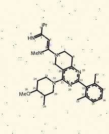 CN/C(=C\C(=N)C(C)C)N1CCc2nc(-c3c(C)cccc3C)nc(N3CCC(OC)C(C)C3)c2C1